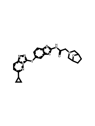 O=C(CN1CC2CCC(C1)O2)Nc1nc2ccc(Sc3nnc4ccc(C5CC5)nn34)cc2s1